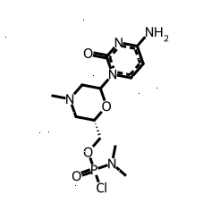 CN1CC(n2ccc(N)nc2=O)O[C@H](COP(=O)(Cl)N(C)C)C1